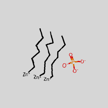 CCCCC[CH2][Zn+].CCCCC[CH2][Zn+].CCCCC[CH2][Zn+].O=P([O-])([O-])[O-]